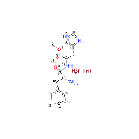 Br.Br.COC(=O)C(Cc1c[nH]cn1)NC(=O)C(N)Cc1ccccc1